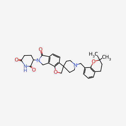 CC1(C)CCc2cccc(CN3CCC4(CC3)COc3c4ccc4c3CN(C3CCC(=O)NC3=O)C4=O)c2O1